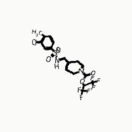 Cc1ccc(S(=O)(=O)NCC2CCN(C(=O)OC(C(F)(F)F)C(F)(F)F)CC2)cc1Cl